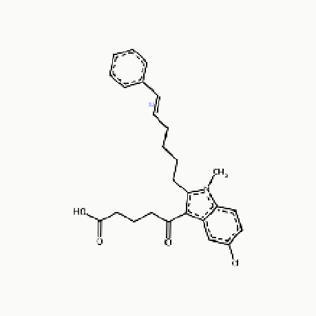 Cn1c(CCCC/C=C/c2ccccc2)c(C(=O)CCCC(=O)O)c2cc(Cl)ccc21